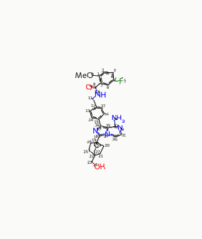 COc1ccc(F)cc1C(=O)NCc1ccc(-c2nc(C34CCC(CO)(CC3)CC4)n3ccnc(N)c23)cc1